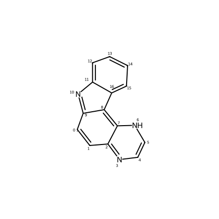 [c]1cc2ncc[nH]c2c2c1nc1ccccc12